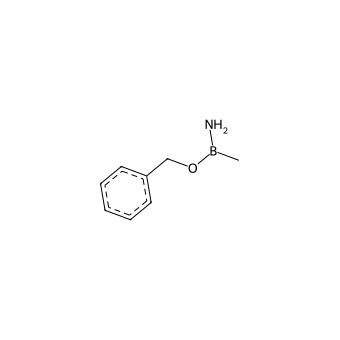 CB(N)OCc1ccccc1